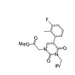 COC(=O)Cn1cc(-c2cccc(F)c2C)c(=O)n(CC(C)C)c1=O